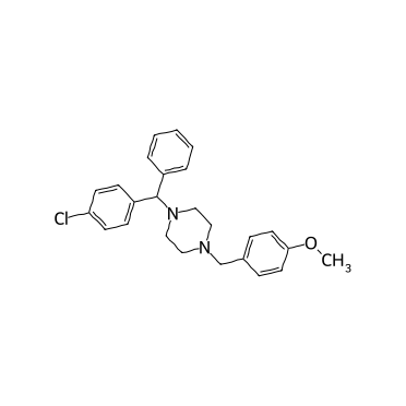 COc1ccc(CN2CCN(C(c3ccccc3)c3ccc(Cl)cc3)CC2)cc1